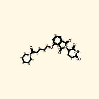 O=C1CCC(N2C(=O)c3cccc(OCCCCC(=O)N4CCCCC4)c3C2=O)C(=O)N1